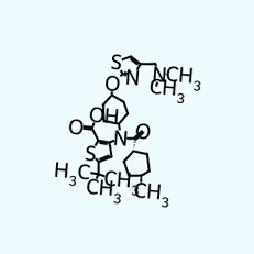 CN(C)Cc1csc(OC2CCC(N(c3cc(C(C)(C)C)sc3C(=O)O)C(=O)[C@H]3CC[C@H](C)CC3)CC2)n1